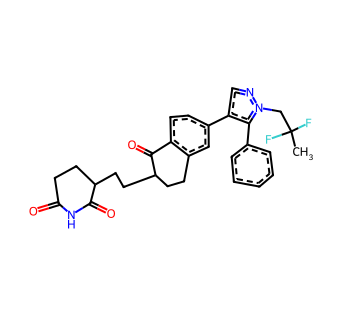 CC(F)(F)Cn1ncc(-c2ccc3c(c2)CCC(CCC2CCC(=O)NC2=O)C3=O)c1-c1ccccc1